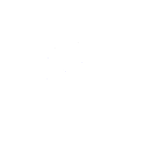 C=C(Nc1nc(N)ncc1OC)[C@@H](CO)CCC